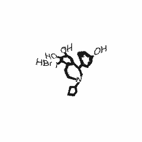 Br.Oc1ccc(C2CN(CC3CCCC3)CCc3c2cc(O)c(O)c3I)cc1